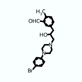 Cc1ccc(CC(O)CN2CCN(c3ccc(Br)cc3)CC2)cc1C=O